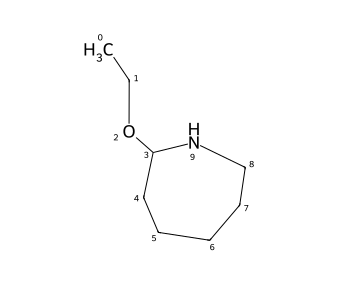 CCOC1CCCCCN1